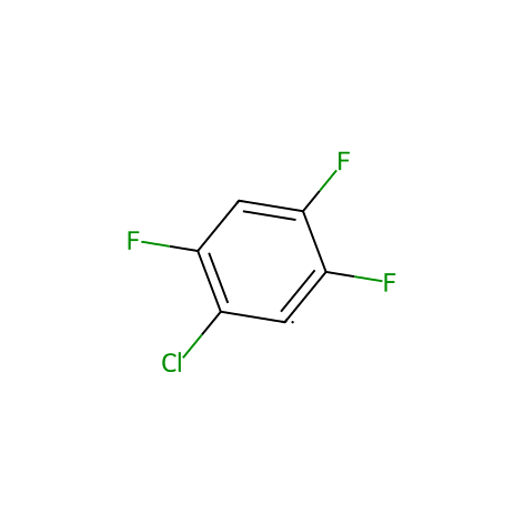 Fc1[c]c(Cl)c(F)cc1F